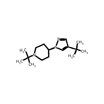 CC(C)(C)c1cnn(C2CCN(C(C)(C)C)CC2)c1